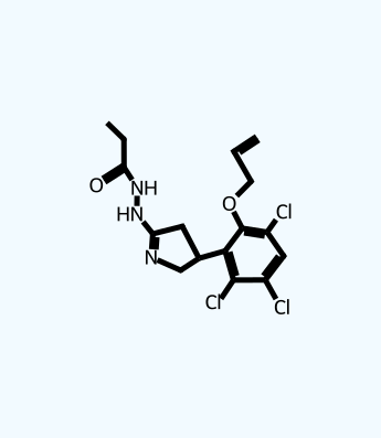 C=CCOc1c(Cl)cc(Cl)c(Cl)c1C1CN=C(NNC(=O)CC)C1